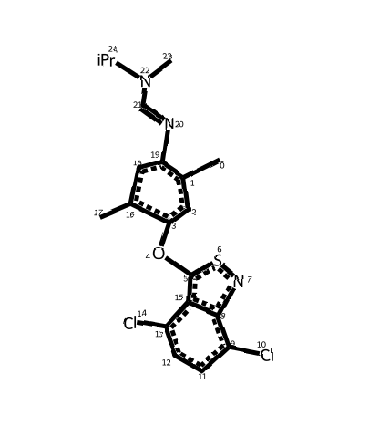 Cc1cc(Oc2snc3c(Cl)ccc(Cl)c23)c(C)cc1N=CN(C)C(C)C